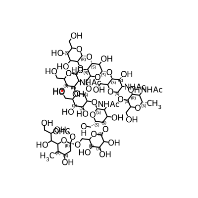 CC(=O)NC1C(O)[C@H](O[C@@H]2OC(CO[C@]3(OC=O)C[C@@H](O)[C@@H](C)C(C(O)C(O)CO)O3)[C@H](O)[C@H](O)C2O)[C@H](CO)O[C@H]1OC1[C@@H](OCC2O[C@@H](O[C@@H]3C(CO)O[C@@H](O[C@@H]4C(CO)O[C@@H](C)C(NC(C)=O)[C@H]4O)C(NC(C)=O)[C@H]3O)C(O)[C@@H](O[C@H]3OC(CO)[C@@H](O)C(O)C3O[C@@H]3OC(CO)[C@@H](O)[C@H](O)C3NC(C)=O)[C@@H]2O)OC(CO)[C@@H](O)[C@@H]1O